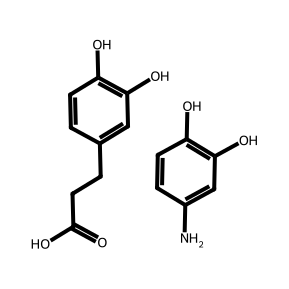 Nc1ccc(O)c(O)c1.O=C(O)CCc1ccc(O)c(O)c1